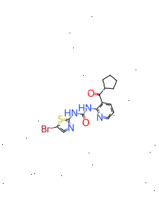 O=C(Nc1ncc(Br)s1)Nc1ncccc1C(=O)C1CCCC1